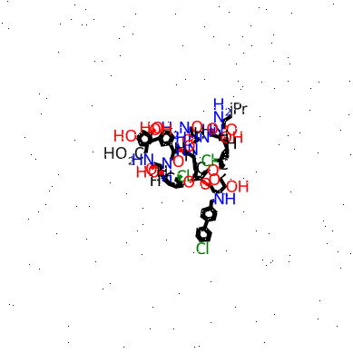 CC(C)C[C@H](N)C(=O)N[C@H]1C(=O)N[C@@H](CC(N)=O)C(=O)N[C@H]2C(=O)N[C@H]3C(=O)N[C@H](C(=O)N[C@H](C(=O)O)c4cc(O)cc(O)c4-c4cc3ccc4O)[C@H](O)c3ccc(c(Cl)c3)Oc3cc2cc(c3OC2C[C@](C)(NCc3ccc(-c4ccc(Cl)cc4)cc3)[C@H](O)[C@H](C)O2)Oc2ccc(cc2Cl)[C@H]1O